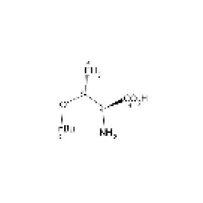 CCCCO[C@H](C)[C@H](N)C(=O)O